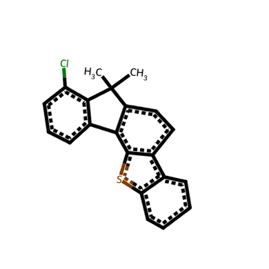 CC1(C)c2ccc3c(sc4ccccc43)c2-c2cccc(Cl)c21